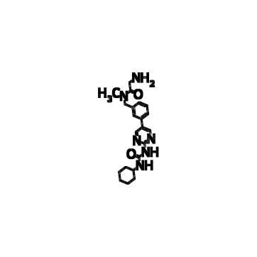 CN(Cc1cccc(-c2cnc(NC(=O)NC3CCCCC3)nc2)c1)C(=O)CN